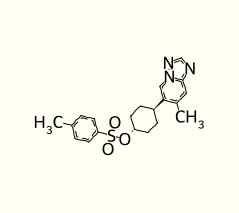 Cc1ccc(S(=O)(=O)O[C@H]2CC[C@H](c3cn4ncnc4cc3C)CC2)cc1